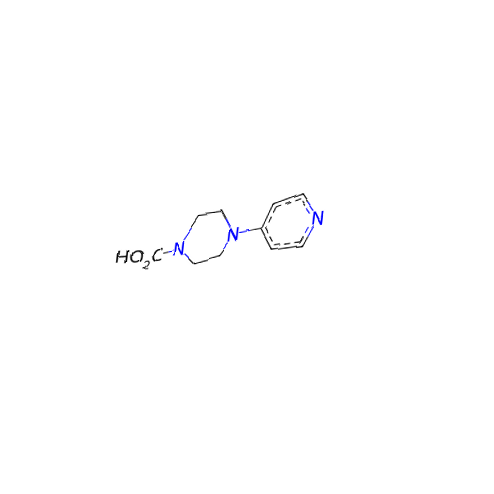 O=C(O)N1CCN(c2ccncc2)CC1